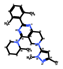 Cc1cccc(C)c1-c1nc2c(c(N3CCCCC3C)n1)CN(c1cc(C(C)C)nn1C)CC2